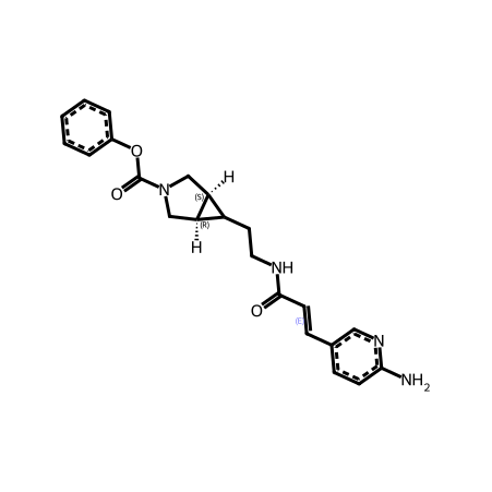 Nc1ccc(/C=C/C(=O)NCCC2[C@H]3CN(C(=O)Oc4ccccc4)C[C@@H]23)cn1